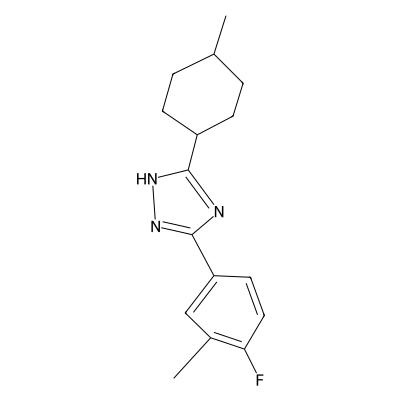 Cc1cc(-c2n[nH]c(C3CCC(C)CC3)n2)ccc1F